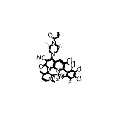 C=CC(=O)N1[C@H](C)CN(c2c(C#N)c(=O)n(C3=C(C)C=CN(C)C3C(C)C)c3nc(-c4c(N)c(F)c(Cl)c(Cl)c4Cl)c(Cl)cc23)C[C@@H]1C